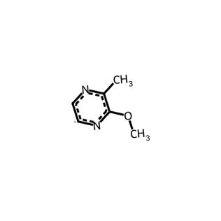 COc1n[c]cnc1C